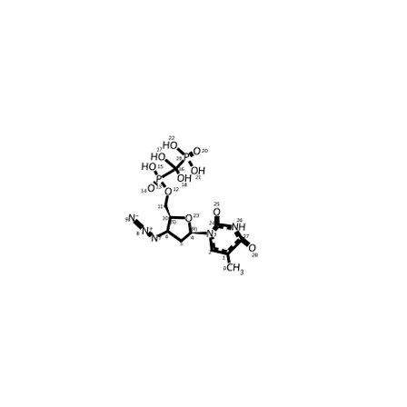 Cc1cn([C@H]2CC(N=[N+]=[N-])[C@@H](COP(=O)(O)C(O)(O)P(=O)(O)O)O2)c(=O)[nH]c1=O